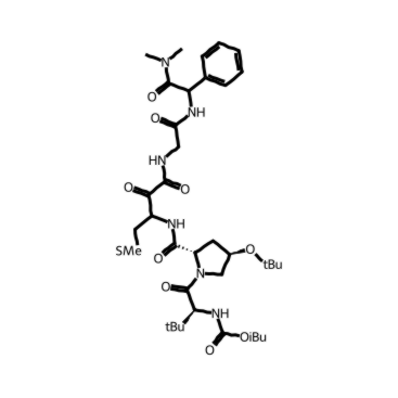 CSCC(NC(=O)[C@@H]1C[C@@H](OC(C)(C)C)CN1C(=O)[C@@H](NC(=O)OCC(C)C)C(C)(C)C)C(=O)C(=O)NCC(=O)NC(C(=O)N(C)C)c1ccccc1